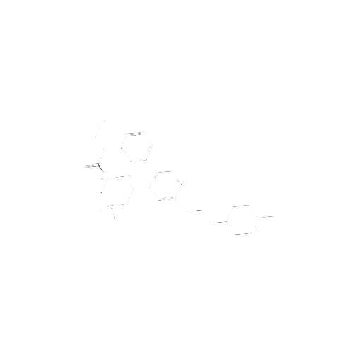 CN1CCC(CCSc2ccc(-c3ccccc3[C@@H]3CCC(F)(F)C[C@H]3C(=O)NCC#N)cc2)CC1